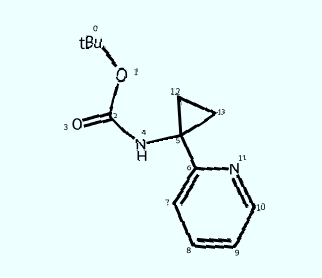 CC(C)(C)OC(=O)NC1(c2ccccn2)CC1